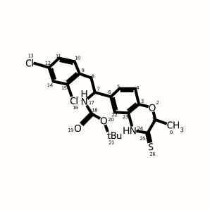 CC1Oc2ccc(C(Cc3ccc(Cl)cc3Cl)NC(=O)OC(C)(C)C)cc2NC1=S